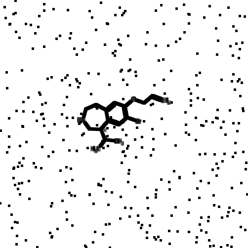 C=CCOc1cc2c(cc1Br)[C@@H](C(C)C)CNCC2